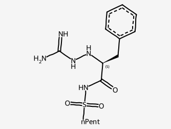 CCCCCS(=O)(=O)NC(=O)[C@H](Cc1ccccc1)NNC(=N)N